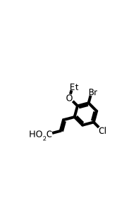 CCOc1c(Br)cc(Cl)cc1C=CC(=O)O